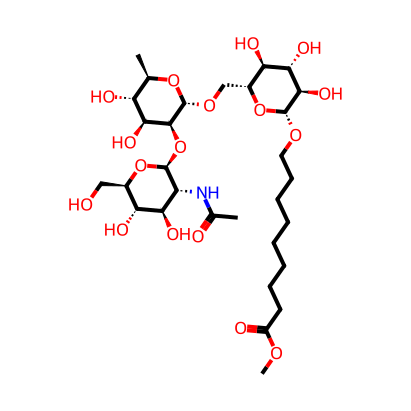 COC(=O)CCCCCCCCO[C@@H]1O[C@H](CO[C@H]2O[C@H](C)[C@@H](O)[C@H](O)[C@@H]2O[C@@H]2O[C@H](CO)[C@@H](O)[C@H](O)[C@H]2NC(C)=O)[C@@H](O)[C@H](O)[C@H]1O